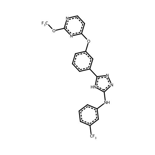 FC(F)(F)Oc1nccc(Oc2cccc(-c3nnc(Nc4cccc(C(F)(F)F)c4)[nH]3)c2)n1